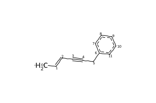 [CH2]/C=C/C#CCc1ccccc1